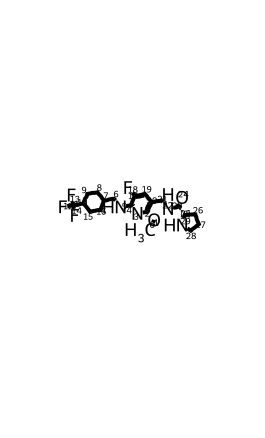 COc1nc(NCC2CCC(C(F)(F)F)CC2)c(F)cc1CNC(=O)[C@@H]1CCCN1